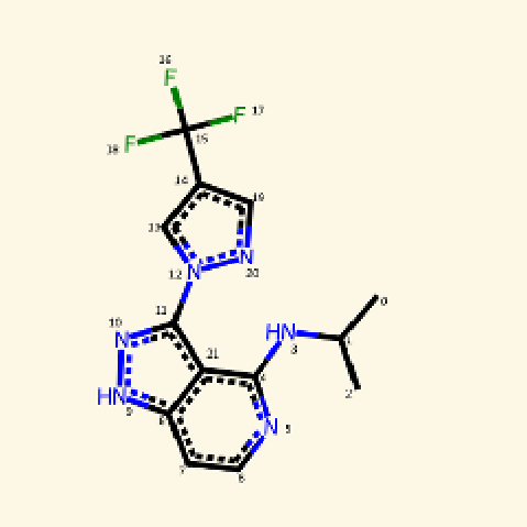 CC(C)Nc1nccc2[nH]nc(-n3cc(C(F)(F)F)cn3)c12